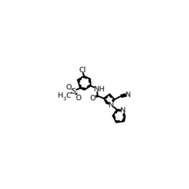 CS(=O)(=O)c1cc(Cl)cc(NC(=O)c2cc(C#N)n(-c3ccccn3)c2)c1